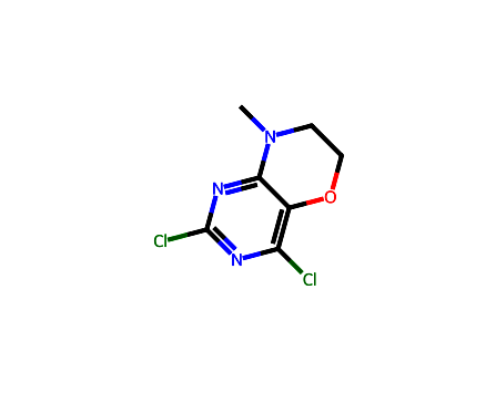 CN1CCOc2c(Cl)nc(Cl)nc21